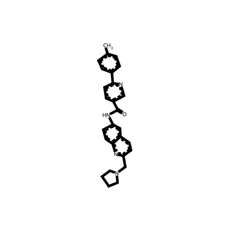 Cc1ccc(-c2ccc(C(=O)Nc3ccc4nc(CN5CCCC5)ccc4c3)cn2)cc1